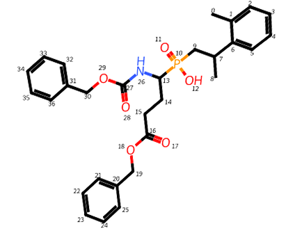 Cc1ccccc1C(C)CP(=O)(O)C(CCC(=O)OCc1ccccc1)NC(=O)OCc1ccccc1